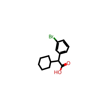 O=C(O)C(c1cccc(Br)c1)C1CCCCC1